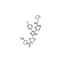 CC1(C(=O)N2CCC(O)C2)COC(c2nc(-c3ccc(F)cc3)c(-c3ccnc(NCC4CCCO4)n3)[nH]2)OC1